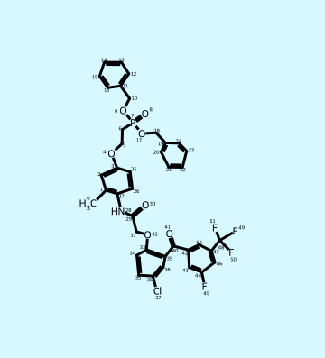 Cc1cc(OCCP(=O)(OCc2ccccc2)OCc2ccccc2)ccc1NC(=O)COc1ccc(Cl)cc1C(=O)c1cc(F)cc(C(F)(F)F)c1